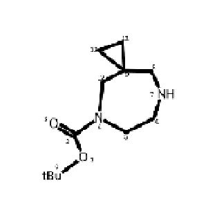 CC(C)(C)OC(=O)N1CCNCC2(CC2)C1